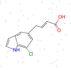 O=C(O)C=CCc1cc(Cl)c2[nH]ccc2c1